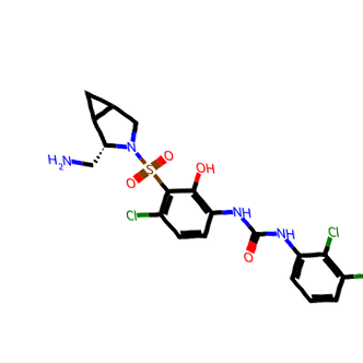 NC[C@@H]1C2CC2CN1S(=O)(=O)c1c(Cl)ccc(NC(=O)Nc2cccc(F)c2Cl)c1O